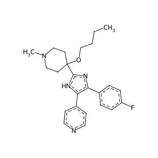 CCCCOC1(c2nc(-c3ccc(F)cc3)c(-c3ccncc3)[nH]2)CCN(C)CC1